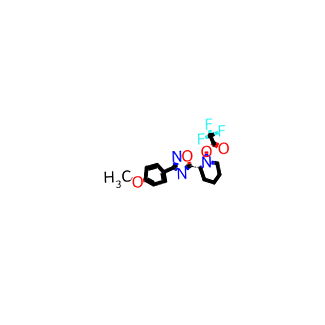 COc1ccc(-c2noc([C@H]3CCCCN3OC(=O)C(F)(F)F)n2)cc1